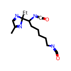 CCC1(C(CCCCCN=C=O)N=C=O)N=CC(C)=N1